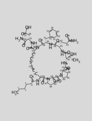 CCCCCC(=O)N[C@H]1CCSSCC[C@@H](C(=O)N[C@@H](CC(=O)O)C(N)=O)NC(=O)[C@H](Cc2ccccc2)NC(=O)[C@H](CCC(N)=O)NC(=O)[C@H]([C@@H](C)O)NC(=O)[C@@H]2CCCN2C(=O)[C@@H]2CCCN2C1=O